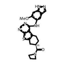 COc1cc2[nH]ncc2cc1Nc1ncnc2sc3c(c12)CC[C@@H](C(=O)N1CCC1)C3